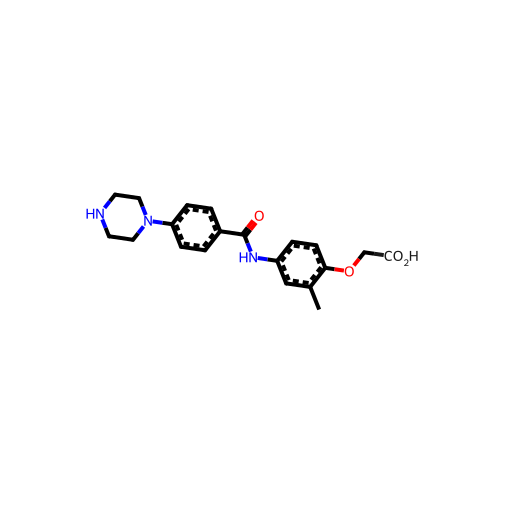 Cc1cc(NC(=O)c2ccc(N3CCNCC3)cc2)ccc1OCC(=O)O